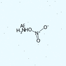 N.O=[N+]([O-])O.[Al]